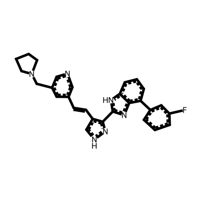 Fc1cccc(-c2cccc3[nH]c(-c4n[nH]cc4/C=C/c4cncc(CN5CCCC5)c4)nc23)c1